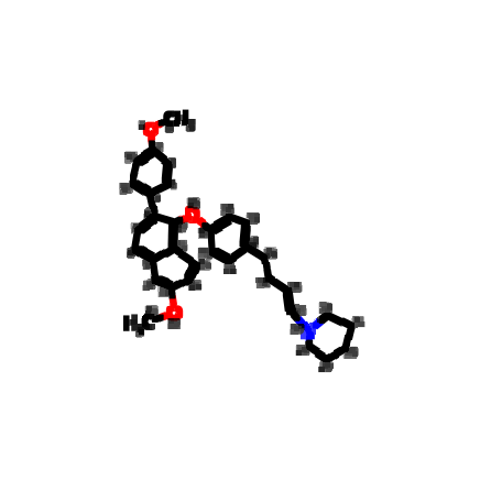 COc1ccc(-c2ccc3cc(OC)ccc3c2Oc2ccc(CCC=CN3CCCCC3)cc2)cc1